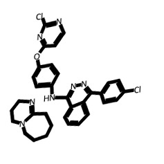 C1CCC2=NCCCN2CC1.Clc1ccc(-c2nnc(Nc3ccc(Oc4ccnc(Cl)n4)cc3)c3ccccc23)cc1